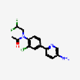 CC(=O)N(CC(F)F)c1ccc(-c2ccc(N)cn2)cc1Cl